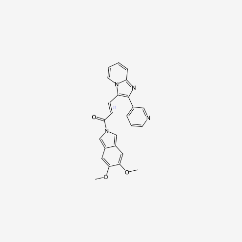 COc1cc2cn(C(=O)/C=C/c3c(-c4cccnc4)nc4ccccn34)cc2cc1OC